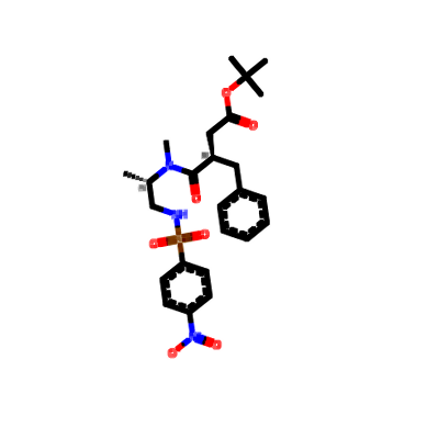 C[C@@H](CNS(=O)(=O)c1ccc([N+](=O)[O-])cc1)N(C)C(=O)[C@@H](CC(=O)OC(C)(C)C)Cc1ccccc1